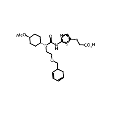 CO[C@H]1CC[C@H](N(CCOCC2C=CC=CC2)C(=O)Nc2ncc(SCC(=O)O)s2)CC1